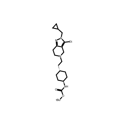 CCc1c2c(nn1CC1CC1)CCN(CC[C@H]1CC[C@H](NC(=O)OC(C)(C)C)CC1)C2